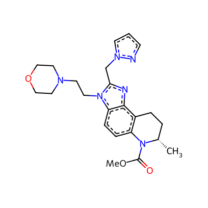 COC(=O)N1c2ccc3c(nc(Cn4cccn4)n3CCN3CCOCC3)c2CC[C@@H]1C